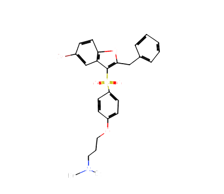 CCN(CC)CCCOc1ccc(S(=O)(=O)c2c(Cc3ccccc3)oc3ccc(Br)cc23)cc1